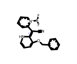 N#C/C(=C1/NC=CC=C1OCc1ccccc1)c1cccc[n+]1B(F)F